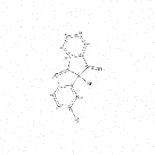 CCc1cccc(C2(Br)C(=O)c3ccccc3C2=O)n1